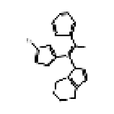 CCC1=CC[C](/[Zr](=[C](/C)c2ccccc2)[CH]2C=CC3=C2CCCC3)=C1